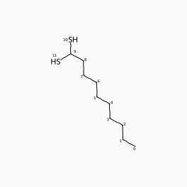 CCCCCCCCCC(S)S